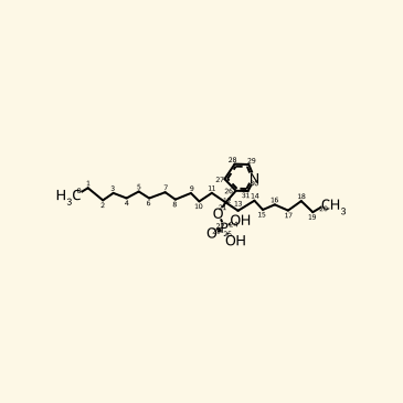 CCCCCCCCCCCCC(CCCCCCCC)(OP(=O)(O)O)c1cccnc1